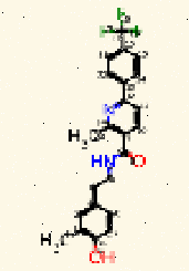 Cc1cc(CCNC(=O)c2ccc(-c3ccc(C(F)(F)F)cc3)nc2C)ccc1O